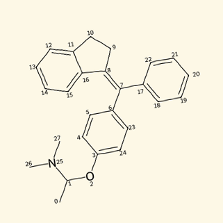 CC(Oc1ccc(C(=C2CCc3ccccc32)c2ccccc2)cc1)N(C)C